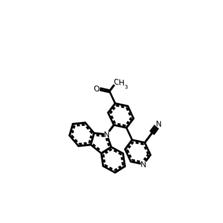 CC(=O)c1ccc(-c2ccncc2C#N)c(-n2c3ccccc3c3ccccc32)c1